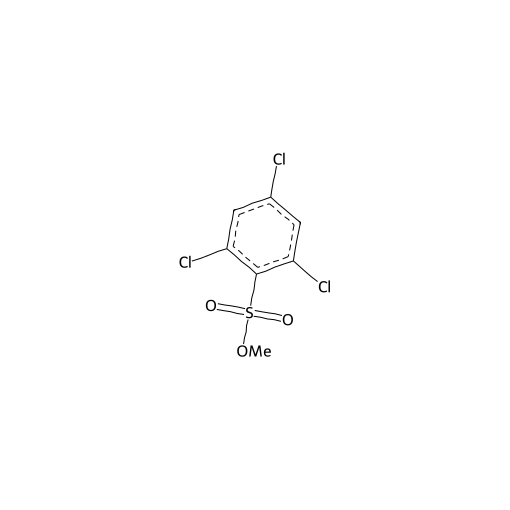 [CH2]OS(=O)(=O)c1c(Cl)cc(Cl)cc1Cl